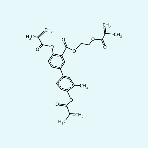 C=C(C)C(=O)OCCOC(=O)c1cc(-c2ccc(OC(=O)C(=C)C)c(C)c2)ccc1OC(=O)C(=C)C